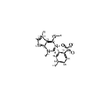 CSc1ncn(C)c2nc[n+](C)c1-2.Cc1ccc(S(=O)(=O)[O-])cc1